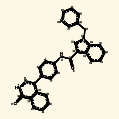 O=C(Nc1ccc(-c2n[nH]c(=O)c3ccccc23)cc1)c1nn(Cc2cccnc2)c2ccccc12